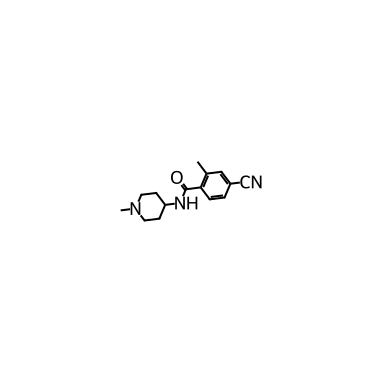 Cc1cc(C#N)ccc1C(=O)NC1CCN(C)CC1